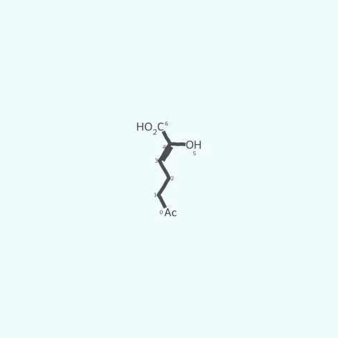 CC(=O)CCC=C(O)C(=O)O